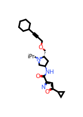 CC(C)N1C[C@H](NC(=O)c2cc(C3CC3)on2)C[C@H]1COCC#CC1CCCCC1